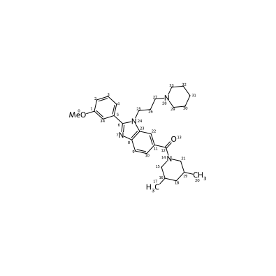 COc1cccc(-c2nc3ccc(C(=O)N4CC(C)CC(C)C4)cc3n2CCCN2CCCCC2)c1